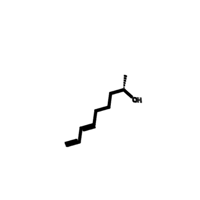 C=C/C=C/CCC[C@H](C)O